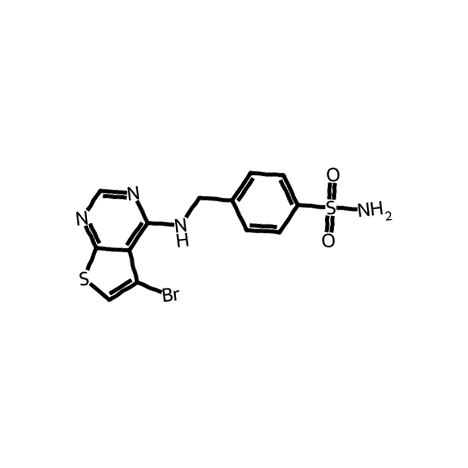 NS(=O)(=O)c1ccc(CNc2ncnc3scc(Br)c23)cc1